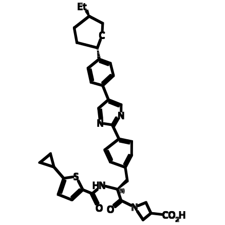 CC[C@H]1CC[C@H](c2ccc(-c3cnc(-c4ccc(C[C@H](NC(=O)c5ccc(C6CC6)s5)C(=O)N5CC(C(=O)O)C5)cc4)nc3)cc2)CC1